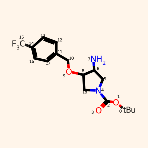 CC(C)(C)OC(=O)N1CC(N)C(OCc2ccc(C(F)(F)F)cc2)C1